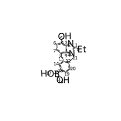 CCc1nc2c(O)cccc2n1Cc1ccc(B(O)O)cc1